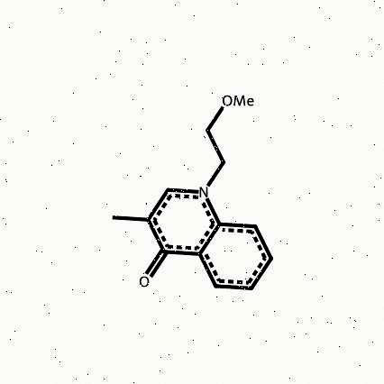 COCCn1cc(C)c(=O)c2ccccc21